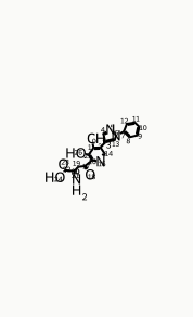 Cc1c(-c2cnn(-c3ccccc3)c2)cnc(C(=O)C[C@@H](N)C(=O)O)c1O